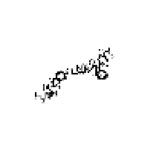 Cc1ccnc(NC(=O)[C@H](Cc2ccccc2)n2cc(COc3ccc4nc(S(N)(=O)=O)sc4c3)nn2)c1